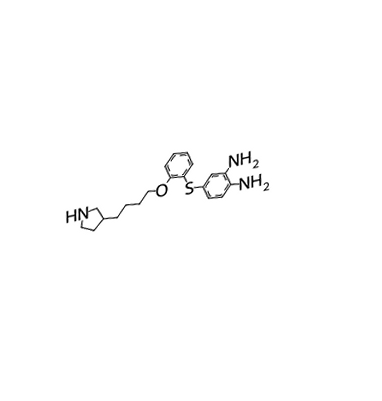 Nc1ccc(Sc2ccccc2OCCCCC2CCNC2)cc1N